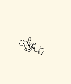 Cc1ccccc1CNC(=O)ON1C(=O)C2CCCCN2C1=O